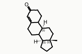 C[C@@]12CCC[C@H]1C1CCC3=CC(=O)CCC3[C@H]1CC2